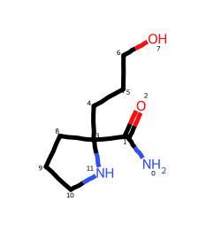 NC(=O)C1(C[CH]CO)CCCN1